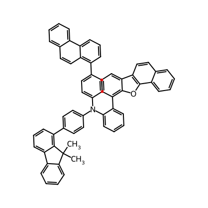 CC1(C)c2ccccc2-c2cccc(-c3ccc(N(c4ccc(-c5cccc6c5ccc5ccccc56)cc4)c4ccccc4-c4cccc5c4oc4c6ccccc6ccc54)cc3)c21